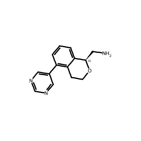 NC[C@H]1OCCc2c(-c3cncnc3)cccc21